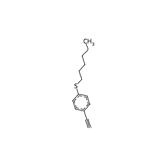 [C]#Cc1ccc(SCCCCCC)cc1